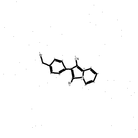 N#Cc1c(-c2ccc(CBr)cc2)c(Br)n2ccccc12